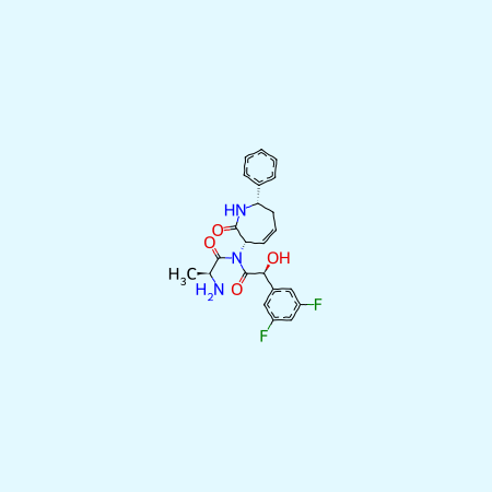 C[C@H](N)C(=O)N(C(=O)[C@@H](O)c1cc(F)cc(F)c1)[C@H]1C=CC[C@@H](c2ccccc2)NC1=O